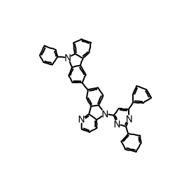 c1ccc(-c2cc(-n3c4ccc(-c5ccc6c(c5)c5ccccc5n6-c5ccccc5)cc4c4ncccc43)nc(-c3ccccc3)n2)cc1